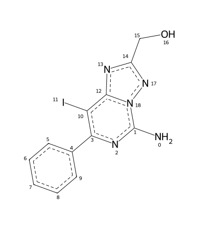 Nc1nc(-c2ccccc2)c(I)c2nc(CO)nn12